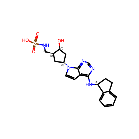 O=S(=O)(O)N[CH][C@@H]1C[C@@H](n2ccc3c(N[C@H]4CCc5ccccc54)ncnc32)C[C@@H]1O